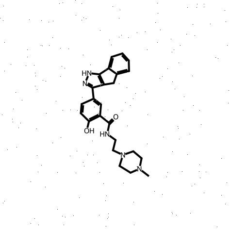 CN1CCN(CCNC(=O)c2cc(-c3n[nH]c4c3Cc3ccccc3-4)ccc2O)CC1